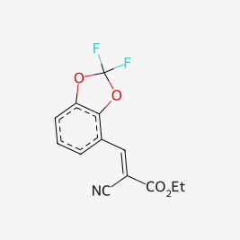 CCOC(=O)/C(C#N)=C/c1cccc2c1OC(F)(F)O2